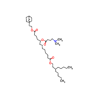 CCCCCC(CCCCC)CCOC(=O)CCCCCCCC(CCCC(=O)OCCC12CCC(CC1)CC2)OC(=O)CCCN(C)C